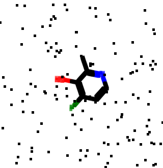 Cc1nccc(F)c1O